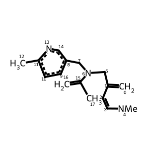 C=C(/C=C\NC)CN(Cc1ccc(C)nc1)C(=C)C